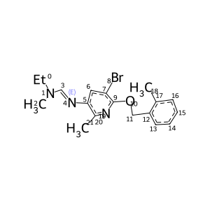 CCN(C)/C=N/c1cc(Br)c(OCc2ccccc2C)nc1C